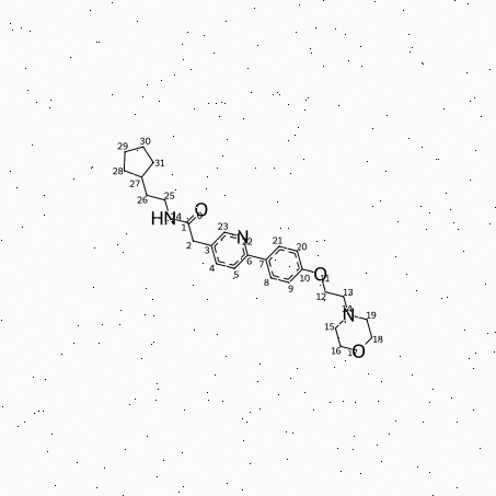 O=C(Cc1ccc(-c2ccc(OCCN3CCOCC3)cc2)nc1)NCCC1CCCC1